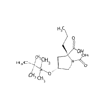 CCC[C@]1(C(=O)O)C[C@@H](O[Si](C)(C)C(C)(C)C)CN1C(=O)O